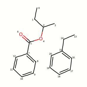 CCC(C)OC(=O)c1ccccc1.CCc1ccccc1